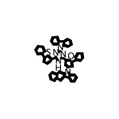 c1ccc2cc3c(cc2c1)c1ccccc1n3-c1cc(C2=NC(n3c4ccccc4c4ccccc43)=NC(c3cccc4c3sc3ccccc34)N2)c2oc3ccccc3c2c1